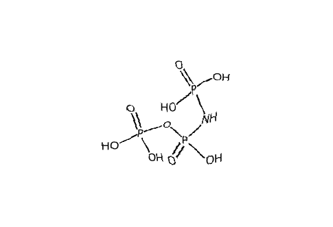 O=P(O)(O)NP(=O)(O)OP(=O)(O)O